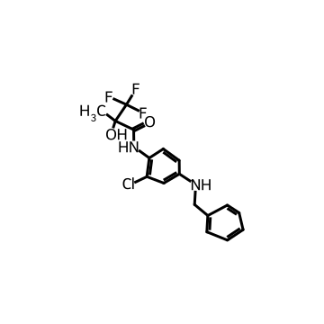 CC(O)(C(=O)Nc1ccc(NCc2ccccc2)cc1Cl)C(F)(F)F